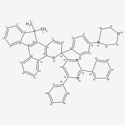 CC1(C)c2ccccc2-c2c1c1c(c3ccccc23)OC(c2ccc(N3CCOCC3)cc2)(c2cc(-c3ccccc3)nc(-c3ccccc3)n2)C=C1